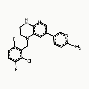 Nc1ccc(-c2cnc3c(c2)N(Cc2c(F)ccc(F)c2Cl)CCN3)cn1